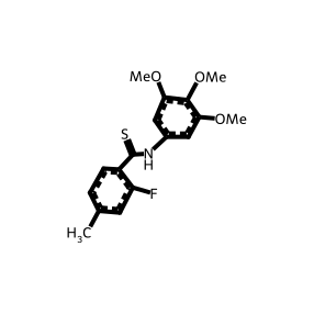 COc1cc(NC(=S)c2ccc(C)cc2F)cc(OC)c1OC